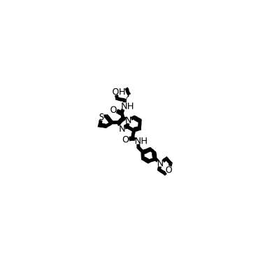 CC[C@@H](CO)NC(=O)c1c(-c2ccsc2)nc2c(C(=O)NCc3ccc(N4CCOCC4)cc3)cccn12